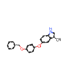 N#Cc1c[nH]c2ccc(Oc3ccc(OCc4ccccc4)cc3)cc12